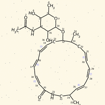 CC(=O)NC1C(O)C(C)OC(OC2C\C=C/C=C/C=C\C(=O)NCC(C)/C=C/C=C\C=C\CC2C)C1O